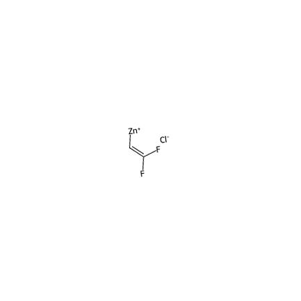 FC(F)=[CH][Zn+].[Cl-]